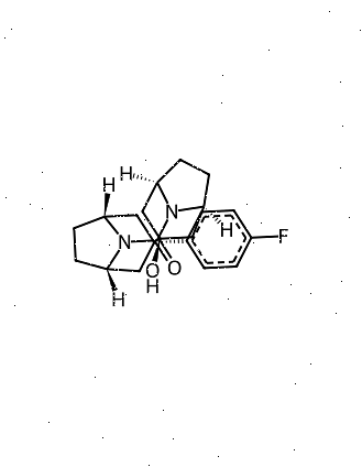 O=C(N1[C@@H]2CC[C@H]1C[C@@H](O)C2)N1[C@@H]2CC[C@H]1C[C@@H](c1ccc(F)cc1)C2